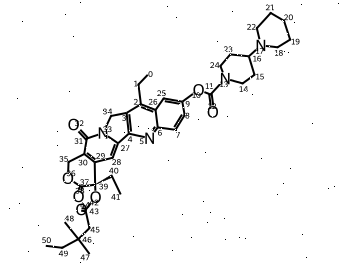 CCc1c2c(nc3ccc(OC(=O)N4CCC(N5CCCCC5)CC4)cc13)-c1cc3c(c(=O)n1C2)COC(=O)[C@@]3(CC)OC(=O)CC(C)(C)CC